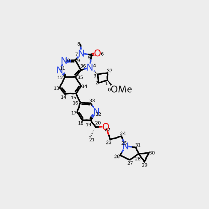 CO[C@H]1C[C@H](n2c(=O)n(C)c3nnc4ccc(-c5ccc([C@@H](C)OCCN6CCC7(CC7)C6)nc5)cc4c32)C1